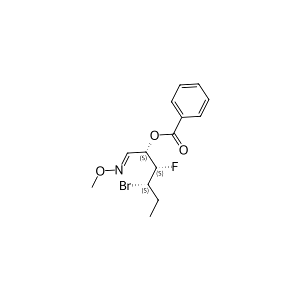 CC[C@H](Br)[C@@H](F)[C@H](C=NOC)OC(=O)c1ccccc1